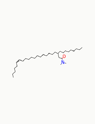 CCCCC/C=C\CCCCCCCCCCCCC(CCCCCCCCC)CC(=O)N(C)C